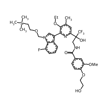 CCOc1c(C)cc(C(O)(CNC(=O)c2ccc(OCCO)c(OC)c2)C(F)(F)F)nc1-c1cn(COCC[Si](C)(C)C)c2c(F)cccc12